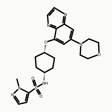 Cn1nccc1S(=O)(=O)N[C@H]1CC[C@@H](Oc2cc(N3CCOCC3)cc3nccnc23)CC1